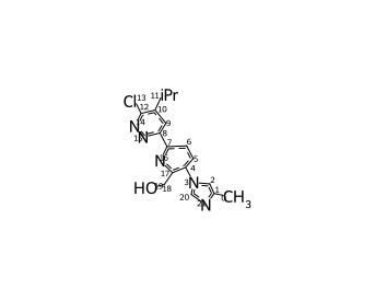 Cc1cn(-c2ccc(-c3cc(C(C)C)c(Cl)nn3)nc2CO)cn1